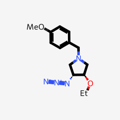 CCO[C@@H]1CN(Cc2ccc(OC)cc2)C[C@H]1N=[N+]=[N-]